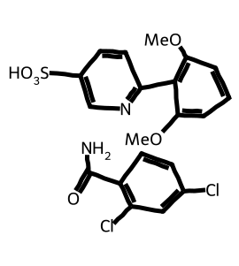 COc1cccc(OC)c1-c1ccc(S(=O)(=O)O)cn1.NC(=O)c1ccc(Cl)cc1Cl